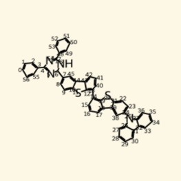 c1ccc(C2=NC(c3ccc4sc5c(-c6cccc7c6sc6ccc(-n8c9ccccc9c9ccccc98)cc67)cccc5c4c3)NC(c3ccccc3)=N2)cc1